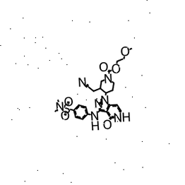 COCCOC(=O)N1CCC(n2nc(Nc3ccc(S(=O)(=O)N(C)C)cc3)c3c(=O)[nH]ccc32)C(CC#N)C1